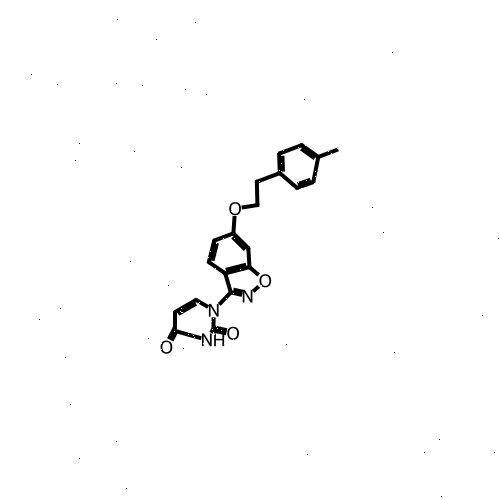 Cc1ccc(CCOc2ccc3c(-n4ccc(=O)[nH]c4=O)noc3c2)cc1